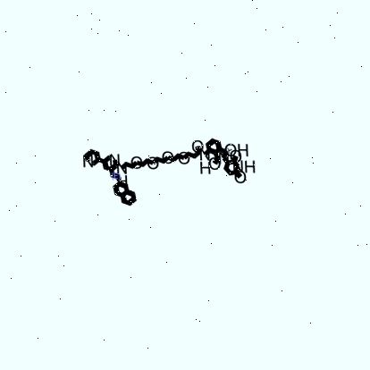 O=C1CCC(N2C(=O)c3c(NC(=O)CCOCCOCCOCCOCCNc4ncc(-c5cccnc5)cc4/C=C/c4ccc5ccccc5c4)cccc3[C@@H]2O)C(=O)N1